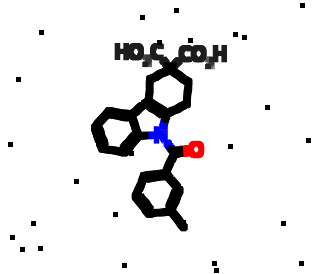 Cc1cccc(C(=O)n2c3c(c4ccccc42)CC(C(=O)O)(C(=O)O)CC3)c1